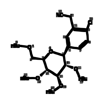 CCCCOC[C@H]1O[C@@H](c2ccc(Cl)c(CC#N)c2)[C@H](OCCCC)[C@@H](OCCCC)[C@@H]1OCCCC